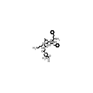 CC(C)C[C@@H](NC(=O)[C@@H](Cc1ccccc1)NC(=O)[C@H](N)CCc1ccccc1)C(=O)N[C@H](CCCCN)C(=O)NCC(=O)N1CCC(N)(C(=O)O)CC1